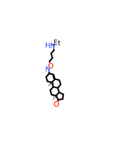 CCNCCCCON=C1C=C2CCC3C(CC[C@]4(C)C(=O)CCC34)[C@@]2(C)CC1